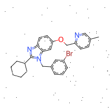 Cc1ccc(COc2ccc3nc(C4CCCCC4)n(Cc4cccc(Br)c4)c3c2)nc1